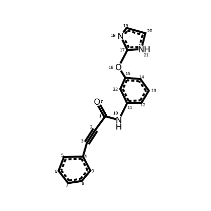 O=C(C#Cc1ccccc1)Nc1cccc(Oc2ncc[nH]2)c1